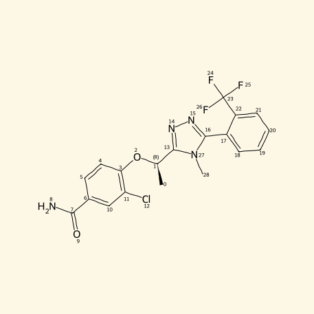 C[C@@H](Oc1ccc(C(N)=O)cc1Cl)c1nnc(-c2ccccc2C(F)(F)F)n1C